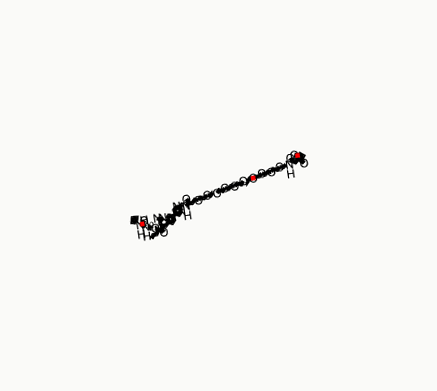 CCCN(OCCNC(=O)NC1CCC1)C(=O)C1=Cc2ccc(-c3cnc(CNC(=O)CCOCCOCCOCCOCCOCCOCCOCCOCCOCCOCCNC(=O)CN4C(=O)C=CC4=O)nc3)cc2N=C(N)C1